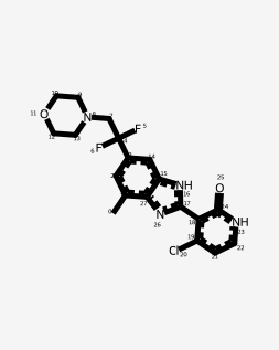 Cc1cc(C(F)(F)CN2CCOCC2)cc2[nH]c(-c3c(Cl)cc[nH]c3=O)nc12